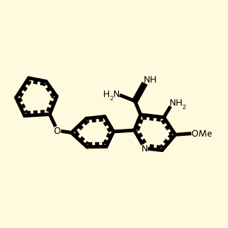 COc1cnc(-c2ccc(Oc3ccccc3)cc2)c(C(=N)N)c1N